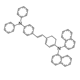 C1=C(/C=C/c2ccc(N(c3ccccc3)c3ccccc3)cc2)CCC(N(c2cccc3ccccc23)c2cccc3ccccc23)=C1